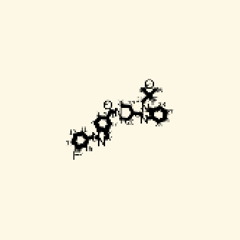 O=C(c1ccc2c(cnn2-c2cccc(F)c2)c1)N1CCC(c2nc3ccccc3n2CC2(F)COC2)CC1